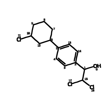 OC(c1ccc(C2CCCC(Cl)C2)cc1)C(Cl)Cl